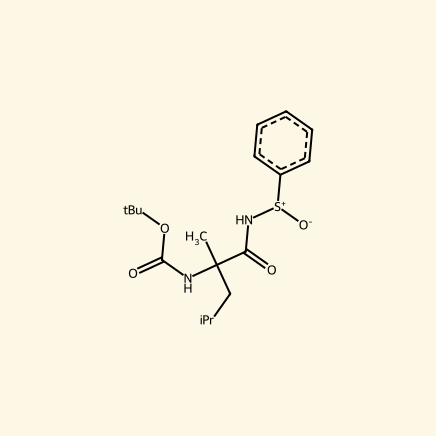 CC(C)CC(C)(NC(=O)OC(C)(C)C)C(=O)N[S+]([O-])c1ccccc1